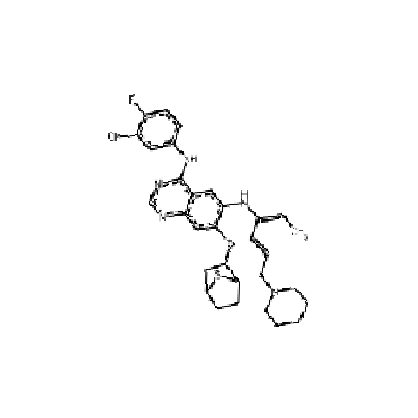 C/C=C(\C=C\CN1CCCCC1)Nc1cc2c(Nc3ccc(F)c(Cl)c3)ncnc2cc1OC1CC2CCC1S2